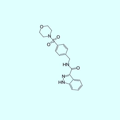 O=C(NCc1ccc(S(=O)(=O)N2CCOCC2)cc1)c1n[nH]c2ccccc12